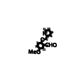 COc1ccc(OCc2ccccn2)c(C=O)c1